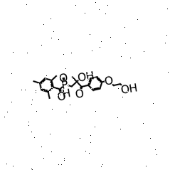 Cc1cc(C)c(C(=O)[PH](=O)CC(C)(O)C(=O)c2ccc(OCCO)cc2)c(C)c1